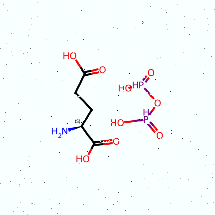 N[C@@H](CCC(=O)O)C(=O)O.O=[PH](O)O[PH](=O)O